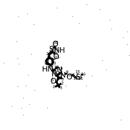 CC(C)(C)C(=O)c1cn(COCC[Si](C)(C)C)c2ncc(Nc3ccc(C=C4SC(=O)NC4=O)cc3)nc12